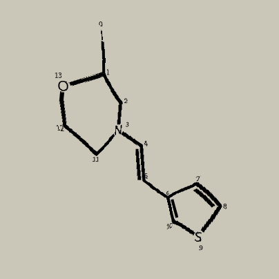 IC1CN(C=Cc2ccsc2)CCO1